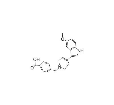 COc1ccc2[nH]cc(C3=CCN(Cc4ccc(C(=O)O)cc4)CC3)c2c1